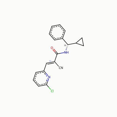 N#C/C(=C\c1cccc(Cl)n1)C(=O)N[C@H](c1ccccc1)C1CC1